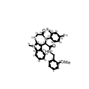 COc1ccccc1CNC(=O)C1c2c(n(C)c3ccccc23)SCC(=O)N1c1ccc(F)cc1F